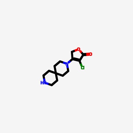 O=C1OCC(N2CCC3(CCNCC3)CC2)=C1Cl